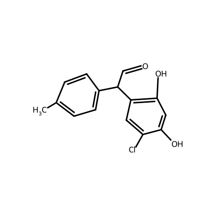 Cc1ccc(C(C=O)c2cc(Cl)c(O)cc2O)cc1